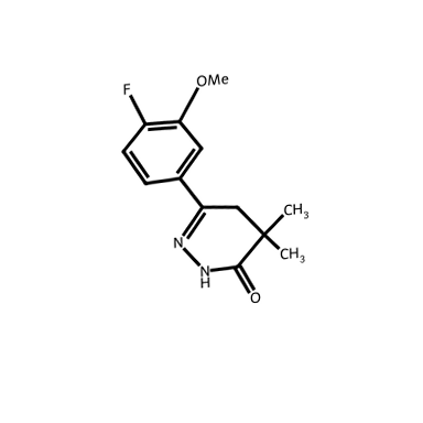 COc1cc(C2=NNC(=O)C(C)(C)C2)ccc1F